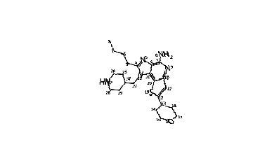 CCCCc1nc2c(N)nc3cc(C4CCOCC4)sc3c2n1CC1CCNCC1